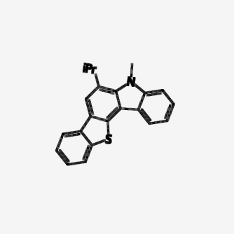 CC(C)c1cc2c3ccccc3sc2c2c3ccccc3n(C)c12